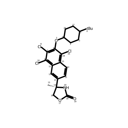 CC(C)(C)C1CCC(Oc2c(Cl)c(Cl)c3cc([C@]4(C)COC(=O)N4)ccc3c2Cl)CC1